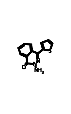 Nn1nc(-c2cccs2)c2ccccc2c1=O